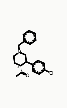 CC(=O)[C@@H]1CCN(Cc2ccccc2)CC1c1ccc(Cl)cc1